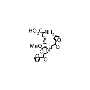 COC(=O)[C@H](CSSCC(N)C(=O)O)N(CCC(=O)c1ccco1)CCC(=O)c1ccco1